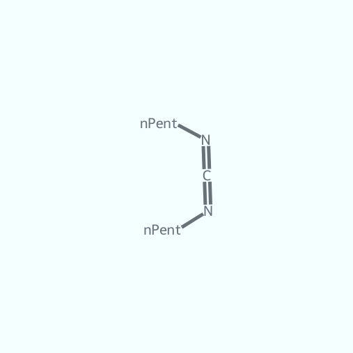 CCCCCN=C=NCCCCC